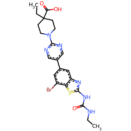 CCNC(=O)Nc1nc2cc(-c3cnc(N4CCC(CC)(C(=O)O)CC4)nc3)cc(Br)c2s1